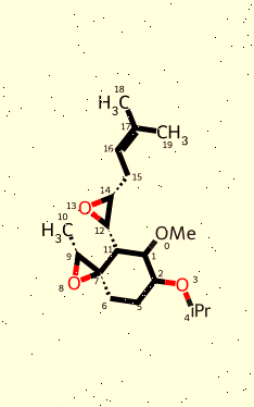 COC1C(OC(C)C)CC[C@@]2(O[C@@H]2C)C1[C@@H]1O[C@@H]1CC=C(C)C